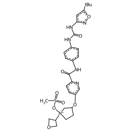 CC(C)(C)c1cc(NC(=O)Nc2ccc(NC(=O)c3ccc(OC4CC[N+](OS(C)(=O)=O)(C5COC5)C4)cn3)cc2)no1